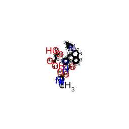 Cn1cc(S(=O)(=O)NCCOc2ccc3c(c2)C(Cc2ccccc2)C(N2CC4CC4C2)CC3)cn1.O=C(O)C=CC(=O)O